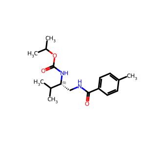 Cc1ccc(C(=O)NC[C@@H](NC(=O)OC(C)C)C(C)C)cc1